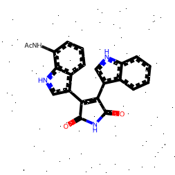 CC(=O)Nc1cccc2c(C3=C(c4c[nH]c5ccccc45)C(=O)NC3=O)c[nH]c12